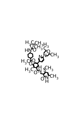 CSc1cc(C)[nH]c(=O)c1CNC(=O)c1cc(-c2ccc(N3CC(C)OC(C)C3)nc2)c2c(c1C)OC(C)(C1CCC(NC(=O)OC(C)(C)C)CC1)O2